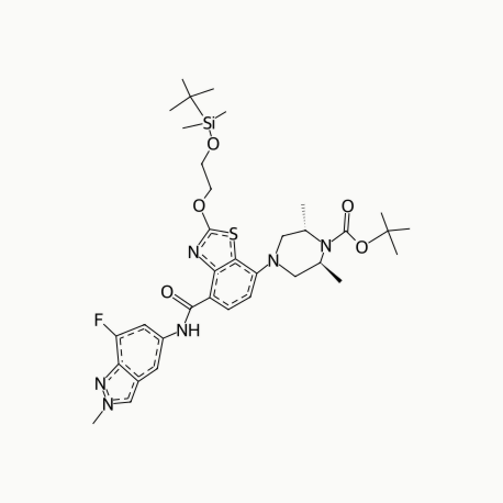 C[C@H]1CN(c2ccc(C(=O)Nc3cc(F)c4nn(C)cc4c3)c3nc(OCCO[Si](C)(C)C(C)(C)C)sc23)C[C@H](C)N1C(=O)OC(C)(C)C